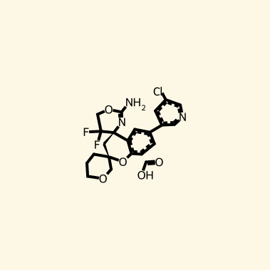 NC1=N[C@@]2(C[C@@]3(CCCOC3)Oc3ccc(-c4cncc(Cl)c4)cc32)C(F)(F)CO1.O=CO